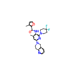 Cc1ccoc1C(=O)Nc1c(C)cc(N2CCc3ncccc3C2)nc1N1CCC(F)(F)CC1